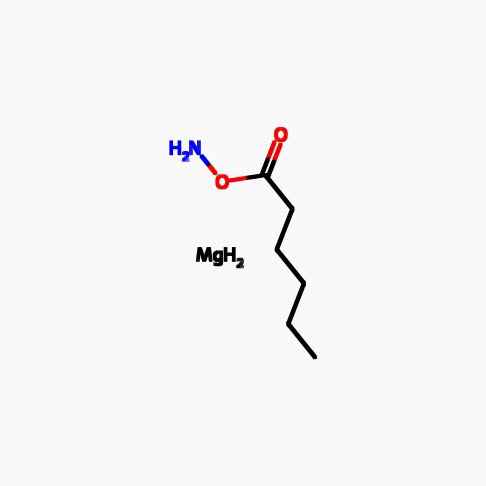 CCCCCC(=O)ON.[MgH2]